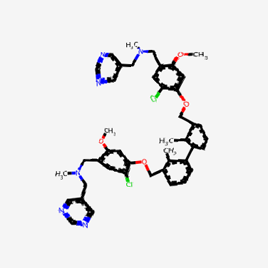 COc1cc(OCc2cccc(-c3cccc(COc4cc(OC)c(CN(C)Cc5cncnc5)cc4Cl)c3C)c2C)c(Cl)cc1CN(C)Cc1cncnc1